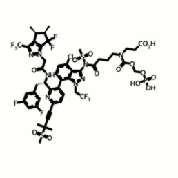 C[C@@H]1c2c(C(F)(F)F)nn(CC(=O)N[C@@H](Cc3cc(F)cc(F)c3)c3nc(C#CC(C)(C)S(C)(=O)=O)ccc3-c3ccc(Cl)c4c(N(C(=O)CCCN(CCC(=O)O)C(=O)OCOP(=O)(O)O)S(C)(=O)=O)nn(CC(F)(F)F)c34)c2C(F)(F)[C@@H]1C